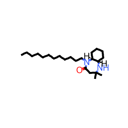 CCCCCCCCCCCCN1C(=O)CC(C)(C)N[C@H]2CCCC[C@@H]21